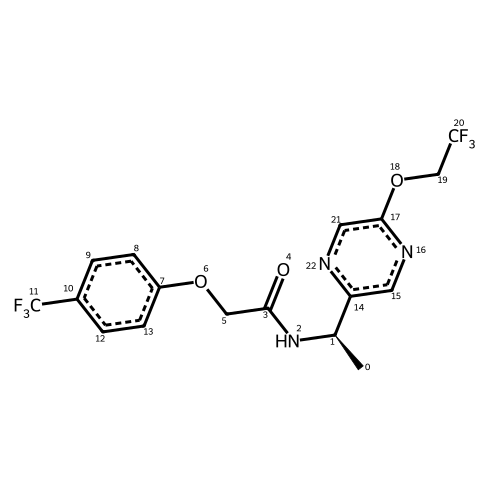 C[C@@H](NC(=O)COc1ccc(C(F)(F)F)cc1)c1cnc(OCC(F)(F)F)cn1